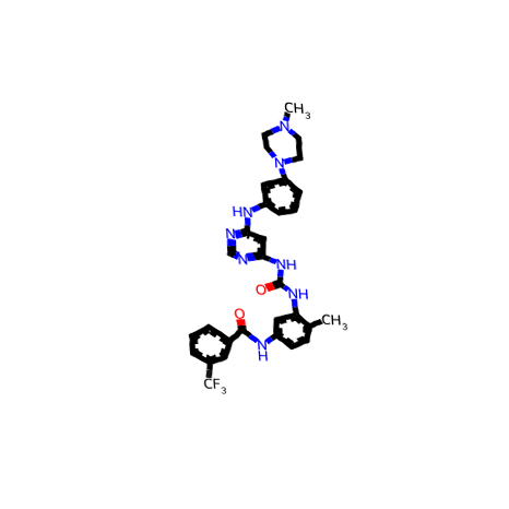 Cc1ccc(NC(=O)c2cccc(C(F)(F)F)c2)cc1NC(=O)Nc1cc(Nc2cccc(N3CCN(C)CC3)c2)ncn1